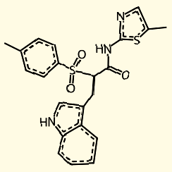 Cc1ccc(S(=O)(=O)C(Cc2c[nH]c3ccccc23)C(=O)Nc2ncc(C)s2)cc1